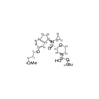 COCCCOc1ccc2c(c1)[C@H](N(C(=O)[C@H]1CN(C(O)OC(C)(C)C)CCO1)C1CC1)CC2